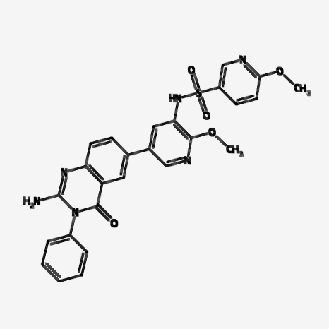 COc1ccc(S(=O)(=O)Nc2cc(-c3ccc4nc(N)n(-c5ccccc5)c(=O)c4c3)cnc2OC)cn1